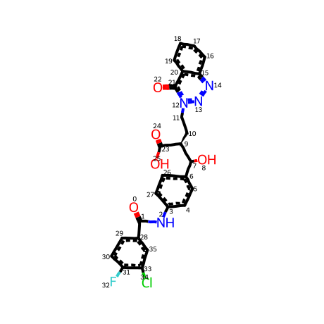 O=C(Nc1ccc(C(O)[C@H](CCn2nnc3ccccc3c2=O)C(=O)O)cc1)c1ccc(F)c(Cl)c1